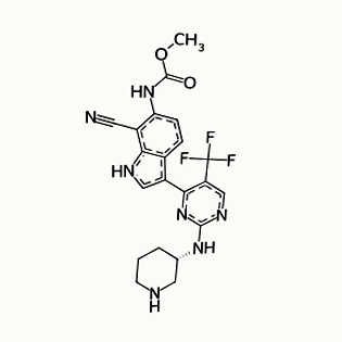 COC(=O)Nc1ccc2c(-c3nc(N[C@H]4CCCNC4)ncc3C(F)(F)F)c[nH]c2c1C#N